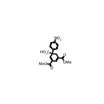 COC(=O)C1=CC(C(=O)O)(c2ccc([N+](=O)[O-])cc2)CC(C(=O)OC)=C1